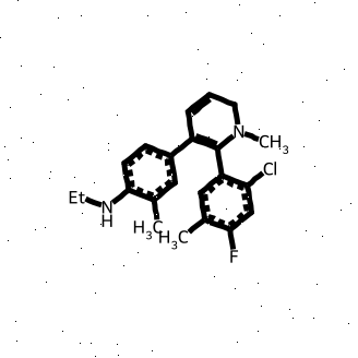 CCNc1ccc(C2=C(c3cc(C)c(F)cc3Cl)N(C)CC=C2)cc1C